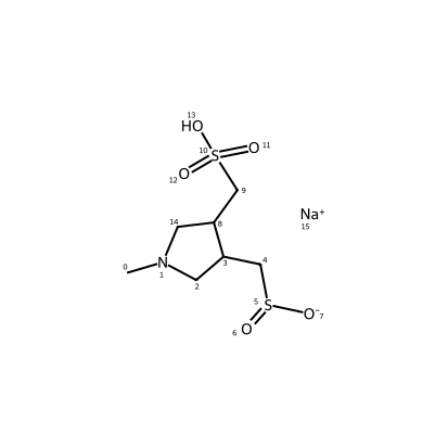 CN1CC(CS(=O)[O-])C(CS(=O)(=O)O)C1.[Na+]